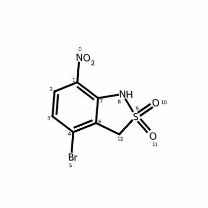 O=[N+]([O-])c1ccc(Br)c2c1NS(=O)(=O)C2